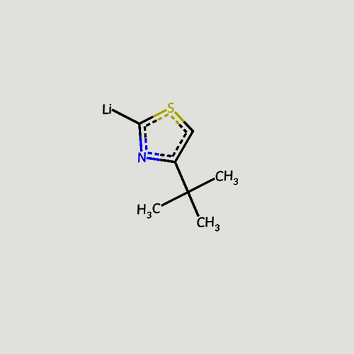 [Li][c]1nc(C(C)(C)C)cs1